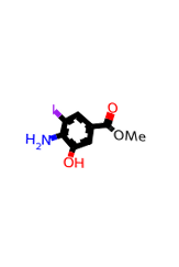 COC(=O)c1cc(O)c(N)c(I)c1